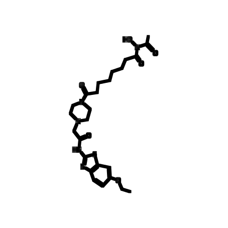 CCOc1ccc2nc(NC(=O)CN3CCN(C(=O)CCCCCCC(=O)N(O)C(C)=O)CC3)sc2c1